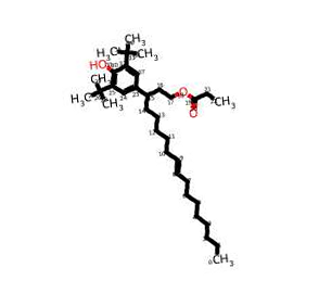 CCCCCCCCC=CCCCCCC(CCOC(=O)CC)c1cc(C(C)(C)C)c(O)c(C(C)(C)C)c1